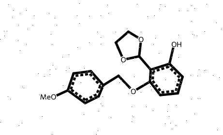 COc1ccc(COc2cccc(O)c2C2OCCO2)cc1